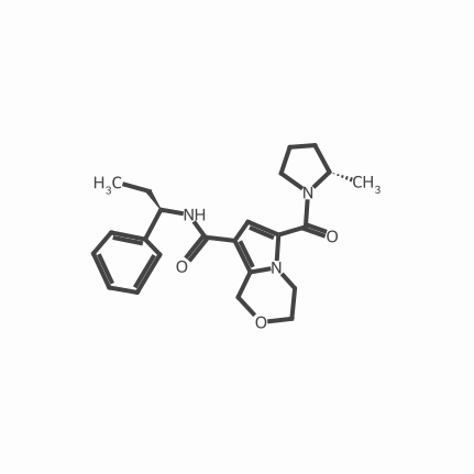 CC[C@@H](NC(=O)c1cc(C(=O)N2CCC[C@@H]2C)n2c1COCC2)c1ccccc1